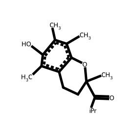 Cc1c(C)c2c(c(C)c1O)CCC(C)(C(=O)C(C)C)O2